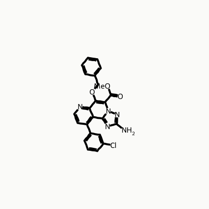 COC(=O)c1c(OCc2ccccc2)c2nccc(-c3cccc(Cl)c3)c2c2nc(N)nn12